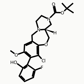 COc1cc2c(c(Cl)c1-c1c(O)cccc1F)OC[C@H]1CN(C(=O)OC(C)(C)C)CCN1C2